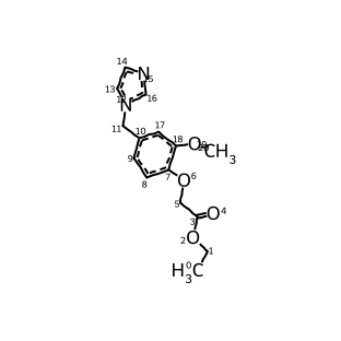 CCOC(=O)COc1ccc(Cn2ccnc2)cc1OC